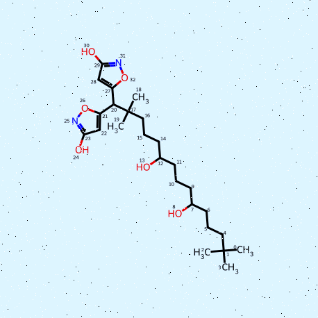 CC(C)(C)CCCC(O)CCCC(O)CCCC(C)(C)C(c1cc(O)no1)c1cc(O)no1